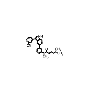 CN(C)C/C=C/C(=O)N(C)c1cncc(-c2cnc3[nH]cc(-c4ccnc(C#N)c4)c3c2)c1